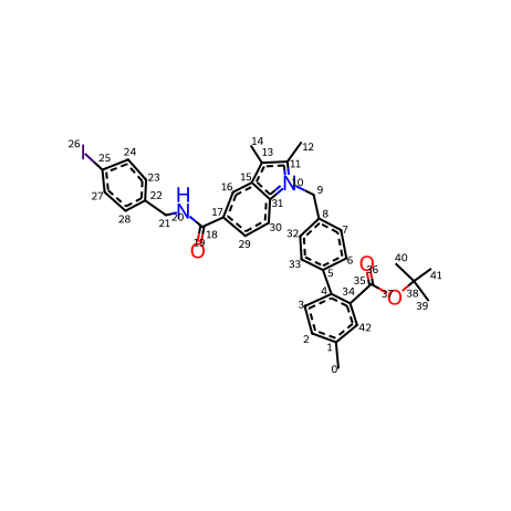 Cc1ccc(-c2ccc(Cn3c(C)c(C)c4cc(C(=O)NCc5ccc(I)cc5)ccc43)cc2)c(C(=O)OC(C)(C)C)c1